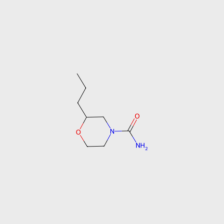 CCCC1CN(C(N)=O)CCO1